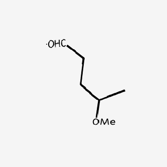 COC(C)CC[C]=O